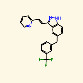 FC(F)(F)c1cccc(Cc2ccc3[nH]nc(/C=C/c4ccccn4)c3c2)c1